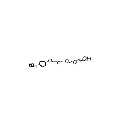 CC(C)(C)c1ccc(OCCOCCOCCOCCO)cc1